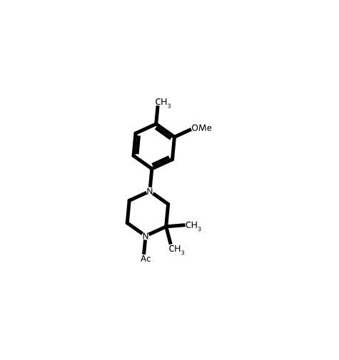 COc1cc(N2CCN(C(C)=O)C(C)(C)C2)ccc1C